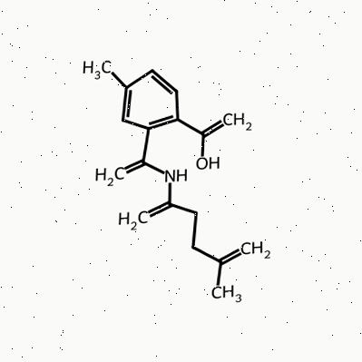 C=C(C)CCC(=C)NC(=C)c1cc(C)ccc1C(=C)O